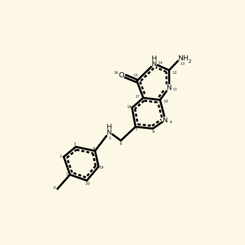 Cc1ccc(NCc2cnc3nc(N)[nH]c(=O)c3c2)cc1